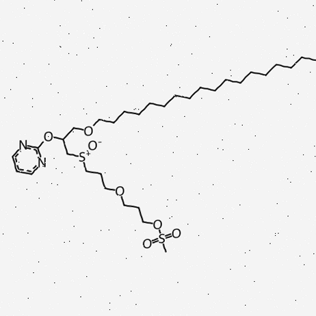 CCCCCCCCCCCCCCCCCCOCC(C[S+]([O-])CCCOCCCOS(C)(=O)=O)Oc1ncccn1